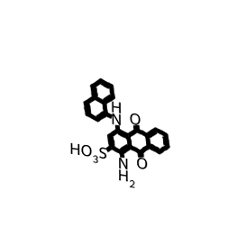 Nc1c(S(=O)(=O)O)cc(Nc2cccc3ccccc23)c2c1C(=O)c1ccccc1C2=O